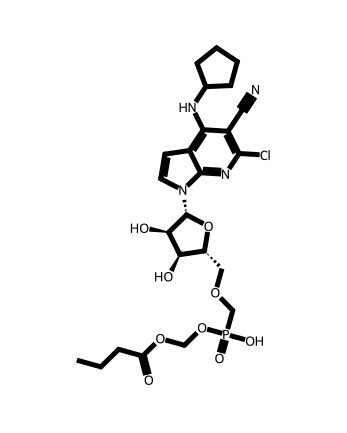 CCCC(=O)OCOP(=O)(O)COC[C@H]1O[C@@H](n2ccc3c(NC4CCCC4)c(C#N)c(Cl)nc32)[C@H](O)[C@@H]1O